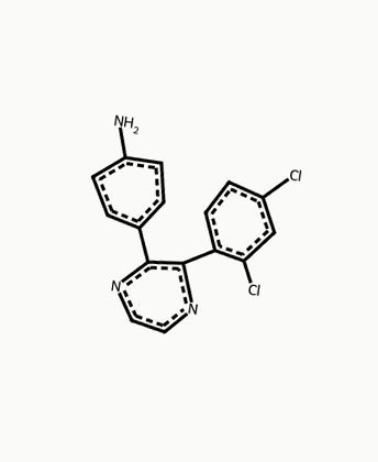 Nc1ccc(-c2nccnc2-c2ccc(Cl)cc2Cl)cc1